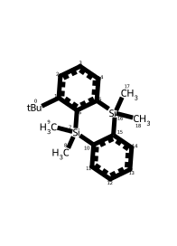 CC(C)(C)c1cccc2c1[Si](C)(C)c1ccccc1[Si]2(C)C